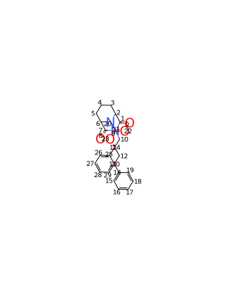 O=C1C2CCCC(C(=O)N1CCCCc1ccccc1)N2C(=O)OCc1ccccc1